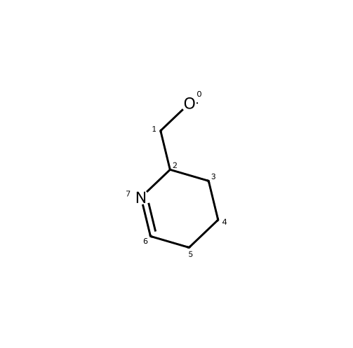 [O]CC1CCCC=N1